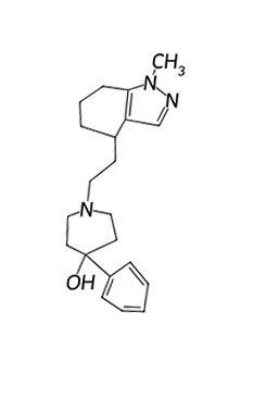 Cn1ncc2c1CCCC2CCN1CCC(O)(c2ccccc2)CC1